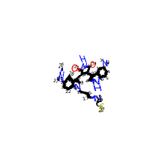 CN(C)c1ccc2[nH]cc(C3=C(c4cn(CCCN=C=S)c5ccc(N(C)C)cc45)C(=O)NC3=O)c2c1